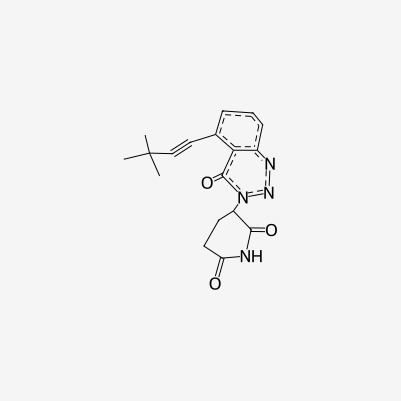 CC(C)(C)C#Cc1cccc2nnn(C3CCC(=O)NC3=O)c(=O)c12